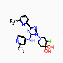 OC1(O)CCN(N2C=NC(c3cccc(C(F)(F)F)n3)=NC2Nc2ccnc(C(F)(F)F)c2)CC1F